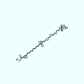 CC(=O)NCCCCCCCCCCCC(=O)NCCOCCOCCOCCOP(C)(=O)O